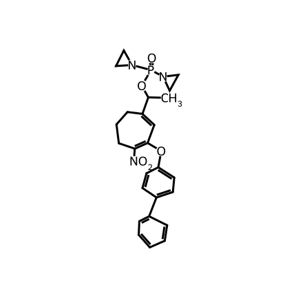 CC(OP(=O)(N1CC1)N1CC1)C1=CC(Oc2ccc(-c3ccccc3)cc2)=C([N+](=O)[O-])CCC1